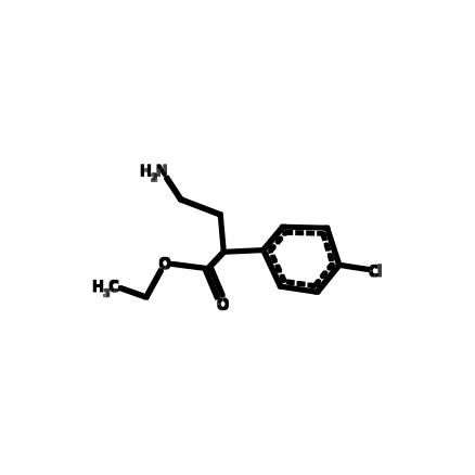 CCOC(=O)C(CCN)c1ccc(Cl)cc1